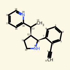 C#Cc1ccccc1[C@H]1NCC[C@H]1C(C)c1ccccn1